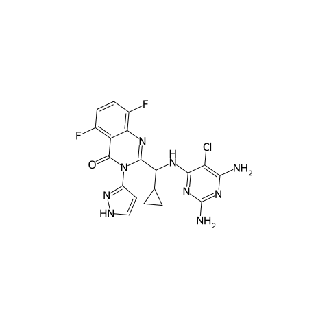 Nc1nc(N)c(Cl)c(NC(c2nc3c(F)ccc(F)c3c(=O)n2-c2cc[nH]n2)C2CC2)n1